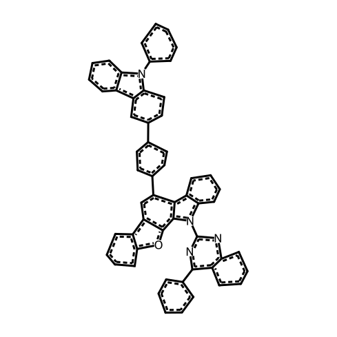 c1ccc(-c2nc(-n3c4ccccc4c4c(-c5ccc(-c6ccc7c(c6)c6ccccc6n7-c6ccccc6)cc5)cc5c6ccccc6oc5c43)nc3ccccc23)cc1